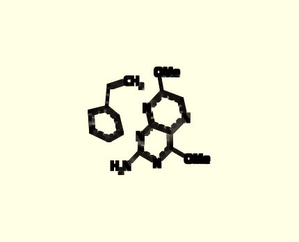 C=Cc1ccccc1.COc1cnc2c(OC)nc(N)nc2n1